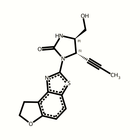 CC#C[C@H]1[C@H](CO)NC(=O)N1c1nc2c3c(ccc2s1)OCC3